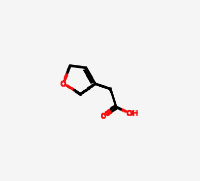 O=C(O)CC1=CCOC1